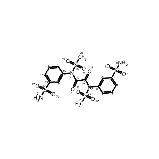 NS(=O)(=O)c1cccc(N(C(=O)C(=O)N(c2cccc(S(N)(=O)=O)c2)S(=O)(=O)C(F)(F)F)S(=O)(=O)C(F)(F)F)c1